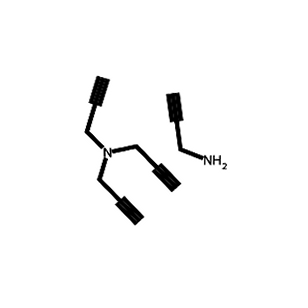 C#CCN.C#CCN(CC#C)CC#C